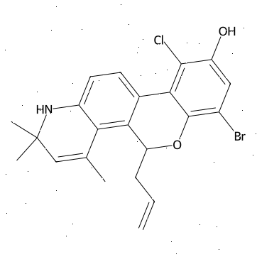 C=CCC1Oc2c(Br)cc(O)c(Cl)c2-c2ccc3c(c21)C(C)=CC(C)(C)N3